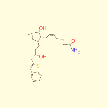 CC1(C)C[C@H](CCC(O)Cc2cc3ccccc3s2)[C@@H](C/C=C\CCCC(N)=O)C1O